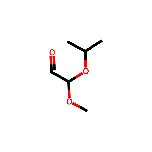 COC(C=O)OC(C)C